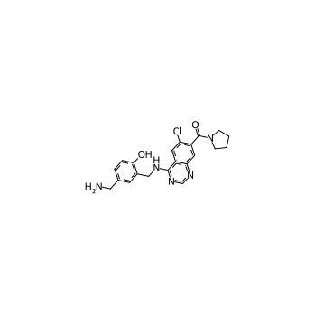 NCc1ccc(O)c(CNc2ncnc3cc(C(=O)N4CCCC4)c(Cl)cc23)c1